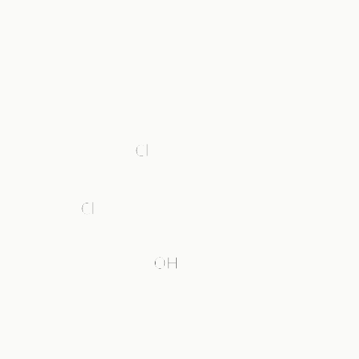 CC(O)C(Cl)Cl.CCCCCC